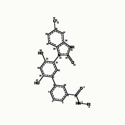 CCNC(=O)c1cccc(-c2cc(-n3c(=O)[nH]c4cc(C(F)(F)F)ccc43)c(O)cc2O)c1